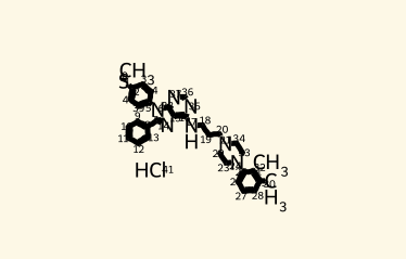 CSc1ccc(-n2c(-c3ccccc3)nc3c(NCCCN4CCN(c5cccc(C)c5C)CC4)ncnc32)cc1.Cl